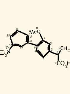 COc1cc(C(C)C(=O)O)ccc1-c1cccc([N+](=O)[O-])c1